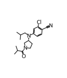 CC(C)CN(c1ccc(C#N)c(Cl)c1)[C@H]1CCN(C(=O)C(C)C)C1